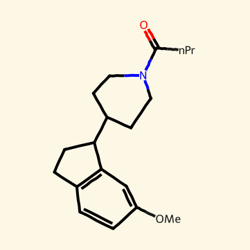 CCCC(=O)N1CCC(C2CCc3ccc(OC)cc32)CC1